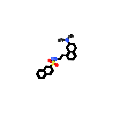 CCCN(CCC)C1CCc2cccc(CCNS(=O)(=O)c3ccc4ccccc4c3)c2C1